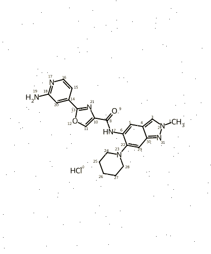 Cl.Cn1cc2cc(NC(=O)c3coc(-c4ccnc(N)c4)n3)c(N3CCCCC3)cc2n1